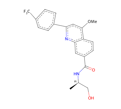 COc1cc(-c2ccc(C(F)(F)F)cc2)nc2cc(C(=O)N[C@H](C)CO)ccc12